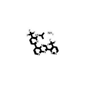 CC(C)Nc1nc(-c2ccnc3nc(-c4nnccc4C(F)(F)F)cnc23)ccc1C(F)(F)F.N